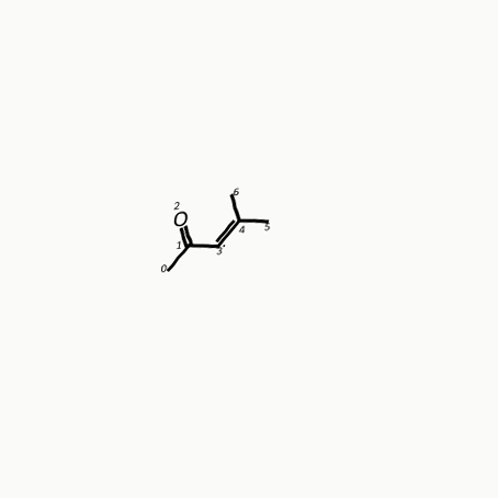 CC(=O)[C]=C(C)C